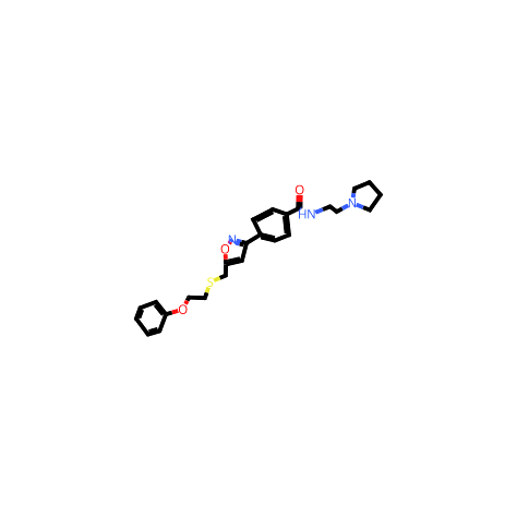 O=C(NCCN1CCCC1)c1ccc(-c2cc(CSCCOc3ccccc3)on2)cc1